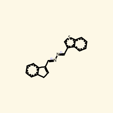 C1=C(/C=N/N=C/c2csc3ccccc23)c2ccccc2C1